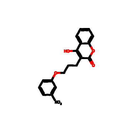 O=c1oc2ccccc2c(O)c1CCCOc1cccc([N+](=O)[O-])c1